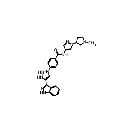 CN1CCC(n2cc(NC(=O)c3ccc(N4C=C(c5n[nH]c6ccccc56)NN4)cc3)cn2)C1